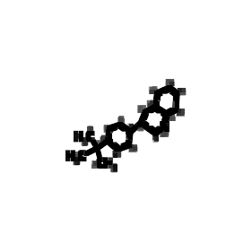 CC(C)(C)c1ccc(-c2cnc3ccccc3c2)cc1